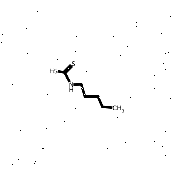 CCCCCNC(=S)S